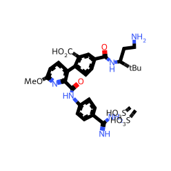 COc1ccc(-c2ccc(C(=O)NC(CCN)C(C)(C)C)cc2C(=O)O)c(C(=O)Nc2ccc(C(=N)N)cc2)n1.CS(=O)(=O)O.CS(=O)(=O)O